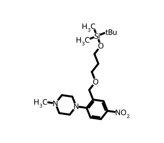 CN1CCN(c2ccc([N+](=O)[O-])cc2COCCCO[Si](C)(C)C(C)(C)C)CC1